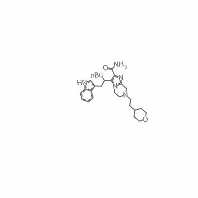 CCCCC(Cc1c[nH]c2ccccc12)c1c(C(N)=O)nc2n1CCN(CCC1CCOCC1)C2